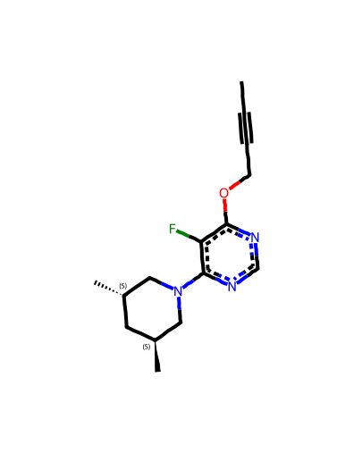 CC#CCOc1ncnc(N2C[C@@H](C)C[C@H](C)C2)c1F